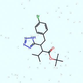 CC(C)C(C(=O)OC(C)(C)C)C(Cc1ccc(Br)cc1)c1nnn[nH]1